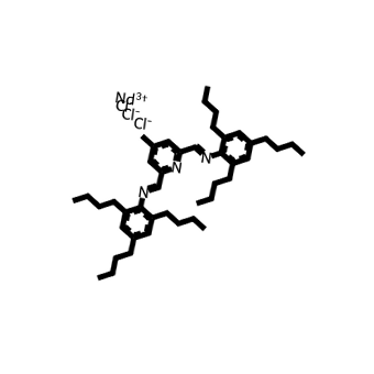 CCCCc1cc(CCCC)c(N=Cc2cc(C)cc(C=Nc3c(CCCC)cc(CCCC)cc3CCCC)n2)c(CCCC)c1.[Cl-].[Cl-].[Cl-].[Nd+3]